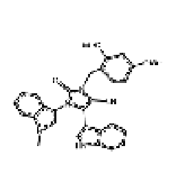 COc1ccc(Cn2c(C#N)c(-c3c[nH]c4ccccc34)n(-c3cn(C)c4ccccc34)c2=O)c(OC)c1